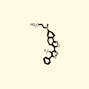 CN(CCC(=O)O)c1ccc2c(c1)CCc1c-2noc1-c1noc(-c2ccccc2)c1C(F)(F)F